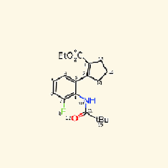 CCOC(=O)C1=C(c2cccc(F)c2NC(=O)C(C)(C)C)CCC1